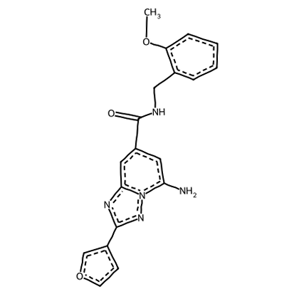 COc1ccccc1CNC(=O)c1cc(N)n2nc(-c3ccoc3)nc2c1